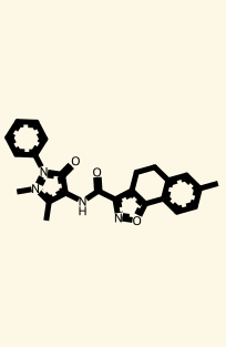 Cc1ccc2c(c1)CCc1c(C(=O)Nc3c(C)n(C)n(-c4ccccc4)c3=O)noc1-2